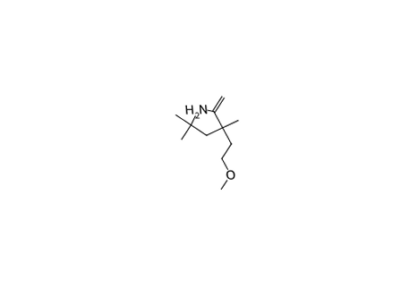 C=C(N)C(C)(CCOC)CC(C)(C)C